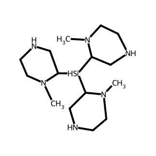 CN1CCNCC1[SiH](C1CNCCN1C)C1CNCCN1C